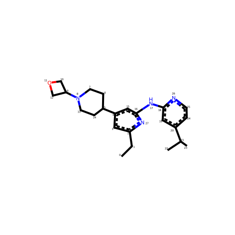 CCc1cc(C2CCN(C3COC3)CC2)cc(Nc2cc(C(C)C)ccn2)n1